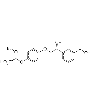 CCO[C@@H](Oc1ccc(OC[C@@H](O)c2cccc(CO)c2)cc1)C(=O)O